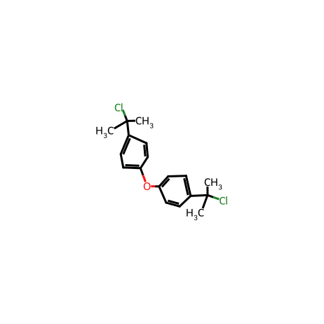 CC(C)(Cl)c1ccc(Oc2ccc(C(C)(C)Cl)cc2)cc1